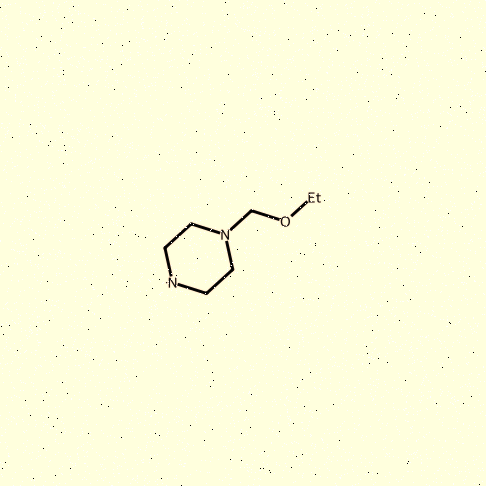 CCOCN1CC[N]CC1